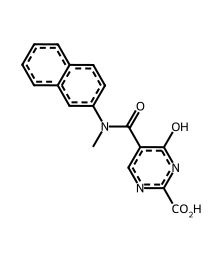 CN(C(=O)c1cnc(C(=O)O)nc1O)c1ccc2ccccc2c1